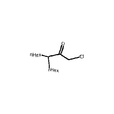 CCCCCCC(CCCCCC)C(=O)CCl